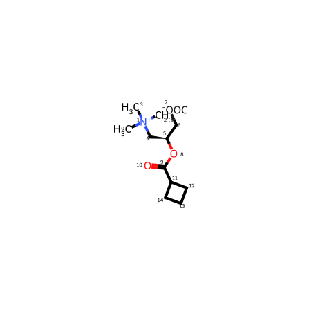 C[N+](C)(C)C[C@@H](CC(=O)[O-])OC(=O)C1CCC1